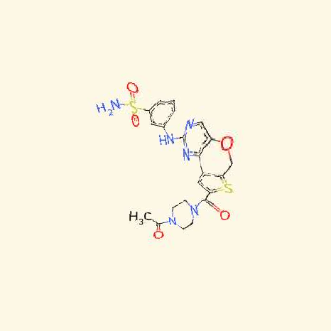 CC(=O)N1CCN(C(=O)c2cc3c(s2)COc2cnc(Nc4cccc(S(N)(=O)=O)c4)nc2-3)CC1